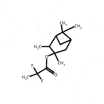 CC1C2CC(CC1(C)OC(=O)C(C)(F)F)C2(C)C